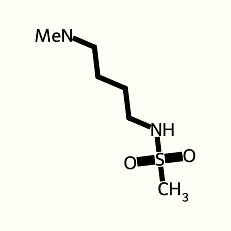 CNCCCCNS(C)(=O)=O